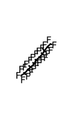 FC(F)C(F)(F)C(F)(F)C(F)(F)C(F)(F)C(F)(F)C(F)(F)C(F)(F)C(F)(F)C(F)(F)C(F)F